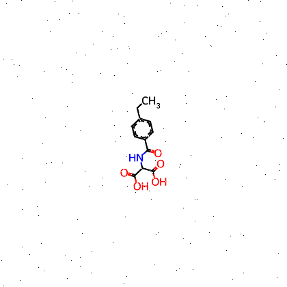 CCc1ccc(C(=O)NC(C(=O)O)C(=O)O)cc1